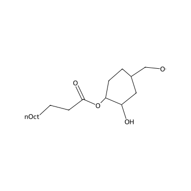 CCCCCCCCCCC(=O)OC1CCC(C[O])CC1O